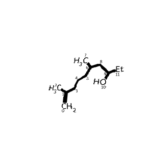 C=C(C)CCCC(C)CC(O)CC